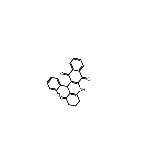 O=C1CCCC2=C1C(c1ccccc1Cl)C1=C(N2)C(=O)c2ccccc2C1=O